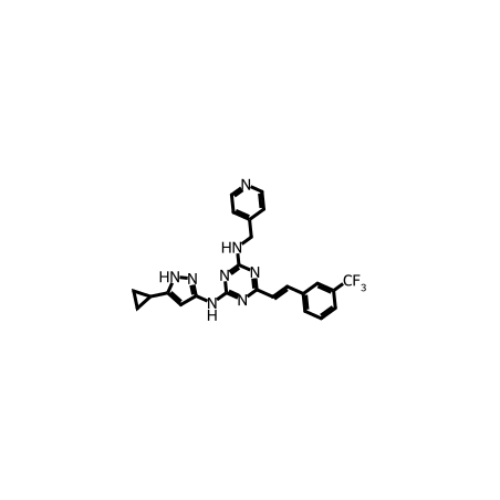 FC(F)(F)c1cccc(/C=C/c2nc(NCc3ccncc3)nc(Nc3cc(C4CC4)[nH]n3)n2)c1